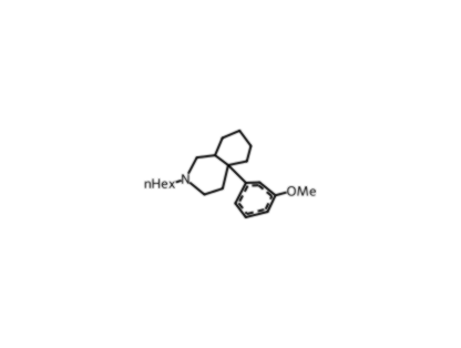 CCCCCCN1CCC2(c3cccc(OC)c3)CCCCC2C1